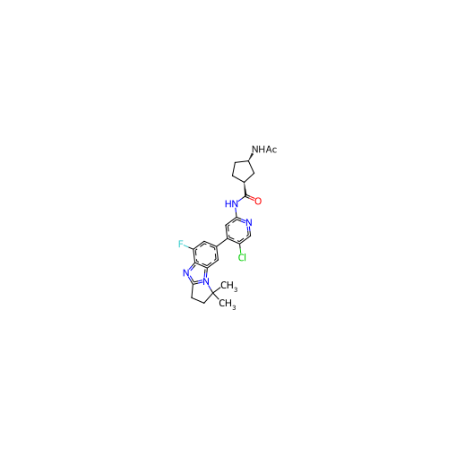 CC(=O)N[C@@H]1CC[C@H](C(=O)Nc2cc(-c3cc(F)c4nc5n(c4c3)C(C)(C)CC5)c(Cl)cn2)C1